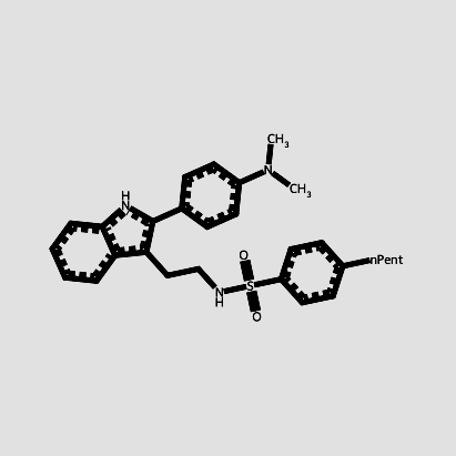 CCCCCc1ccc(S(=O)(=O)NCCc2c(-c3ccc(N(C)C)cc3)[nH]c3ccccc23)cc1